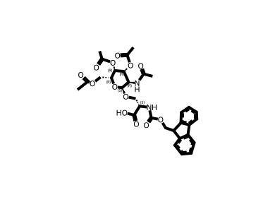 CC(=O)N[C@H]1[C@@H](OC[C@H](NC(=O)OCC2c3ccccc3-c3ccccc32)C(=O)O)O[C@H](COC(C)=O)[C@H](OC(C)=O)[C@@H]1OC(C)=O